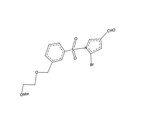 COCCOCc1cccc(S(=O)(=O)n2cc(C=O)cc2Br)c1